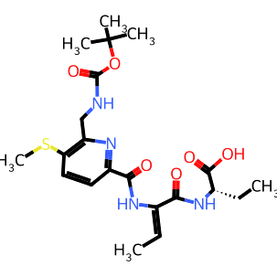 C/C=C(\NC(=O)c1ccc(SC)c(CNC(=O)OC(C)(C)C)n1)C(=O)N[C@@H](CC)C(=O)O